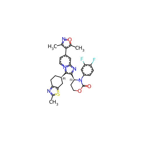 Cc1nc2c(s1)C[C@H](c1c([C@@H]3CCOC(=O)N3c3ccc(F)c(F)c3)nc3cc(-c4c(C)noc4C)ccn13)CC2